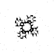 CCOC(C)Oc1cc(OC(C)OCC)c2cc1C(C)c1cc(c(OC(C)OCC)cc1OC(C)OCC)C(C)c1cc(c(OC(C)OCC)cc1OC(C)OCC)C(C)c1cc(c(OC(C)OCC)cc1OC(C)OCC)C2C